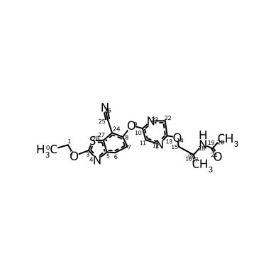 CCOc1nc2ccc(Oc3cnc(OC[C@H](C)NC(C)=O)cn3)c(C#N)c2s1